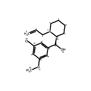 C=CCN1CCCC[C@H]1C(O)c1cc(Cl)cc(OC)c1